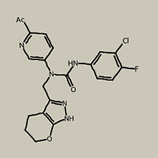 CC(=O)c1ccc(N(Cc2n[nH]c3c2CCCO3)C(=O)Nc2ccc(F)c(Cl)c2)cn1